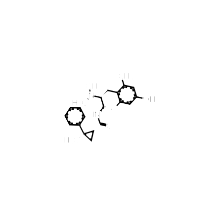 Cc1cc(O)cc(C)c1C[C@@H](CNC(=O)[C@@H]1C[C@@]1(C)c1ccccc1)N(C)C